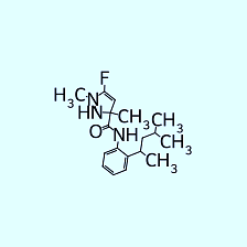 CC(C)CC(C)c1ccccc1NC(=O)C1(C)C=C(F)N(C)N1